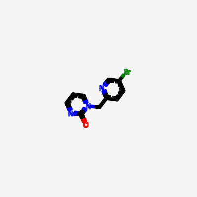 O=c1ncccn1Cc1ccc(Br)cn1